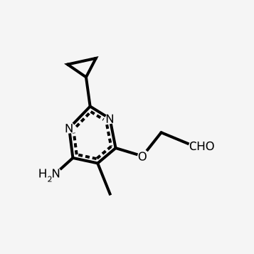 Cc1c(N)nc(C2CC2)nc1OCC=O